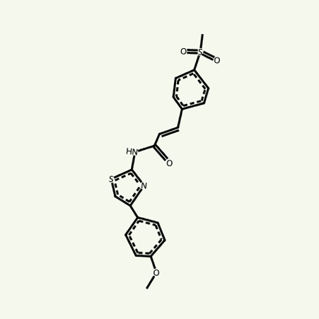 COc1ccc(-c2csc(NC(=O)/C=C/c3ccc(S(C)(=O)=O)cc3)n2)cc1